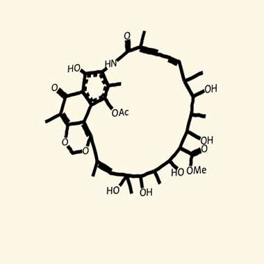 COC(=O)C1C(O)C(C)C(O)C(C)/C=C\C=C(/C)C(=O)Nc2c(C)c(OC(C)=O)c3c(c2O)C(=O)C(C)=C2OCOC(=C23)/C(C)=C\C(C)(O)C(O)C(C)C1O